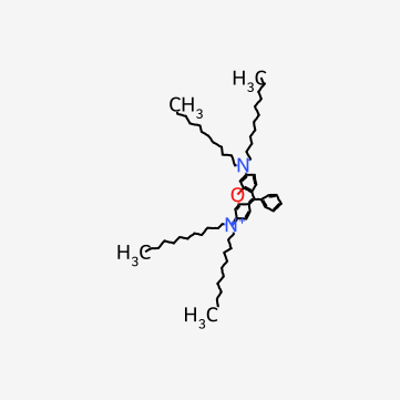 CCCCCCCCCCCCN(CCCCCCCCCCCC)c1ccc2c(-c3ccccc3)c3ccc(=[N+](CCCCCCCCCCCC)CCCCCCCCCCCC)cc-3oc2c1